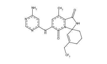 Cc1cc(Nc2cc(N)ncn2)c(=O)n2c1C(=O)NC21C=C(CC(F)(F)F)CCC1